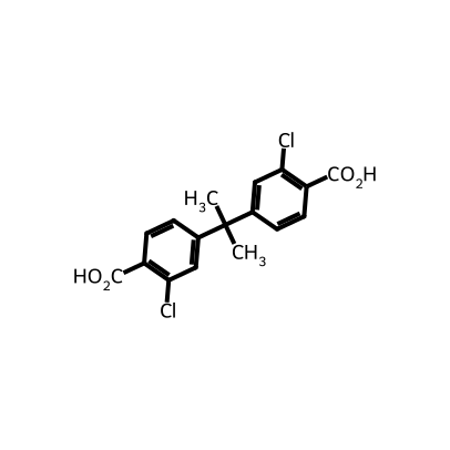 CC(C)(c1ccc(C(=O)O)c(Cl)c1)c1ccc(C(=O)O)c(Cl)c1